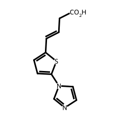 O=C(O)C/C=C/c1ccc(-n2ccnc2)s1